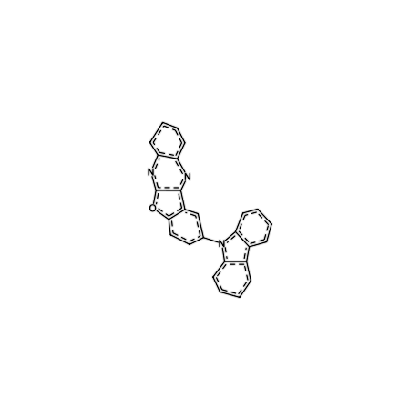 c1ccc2nc3c(nc2c1)oc1ccc(-n2c4ccccc4c4ccccc42)cc13